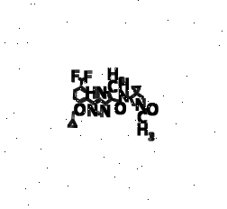 CC(=O)N1CC(NC(=O)c2c(C)[nH]c3c(-c4cc(C(F)F)ccc4OCC4CC4)ncnc23)C2(CC2)C1